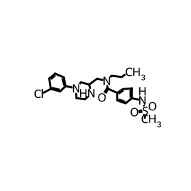 CCCN(CC1CN(c2cccc(Cl)c2)CCN1)C(=O)c1ccc(NS(C)(=O)=O)cc1